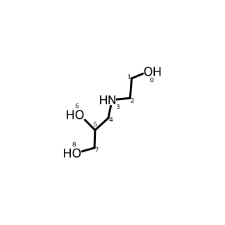 OCCNCC(O)CO